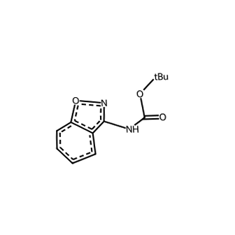 CC(C)(C)OC(=O)Nc1noc2ccccc12